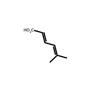 CC(C)=CC=CC(=O)O